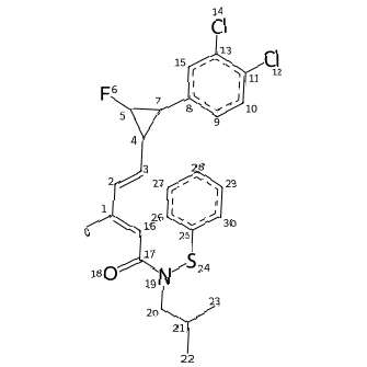 CC(C=CC1C(F)C1c1ccc(Cl)c(Cl)c1)=CC(=O)N(CC(C)C)Sc1ccccc1